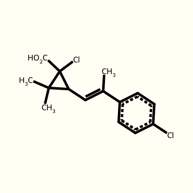 CC(=CC1C(C)(C)C1(Cl)C(=O)O)c1ccc(Cl)cc1